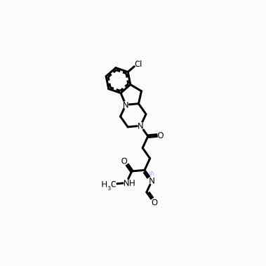 CNC(=O)/C(CCC(=O)N1CCN2c3cccc(Cl)c3CC2C1)=N\C=O